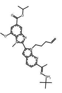 C=CCCCn1c(-c2nc3cc(C(=O)OC(C)C)cc(OC)c3n2C)cc2ccc(/C(C)=N/[SiH2]C(C)(C)C)nc21